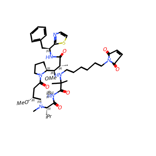 CC[C@H](C)[C@@H]([C@@H](CC(=O)N1CCC[C@H]1[C@H](OC)[C@@H](C)C(=O)N[C@@H](Cc1ccccc1)c1nccs1)OC)N(C)[C@H](C(=O)NC(=O)C(C)(C)NCCCCCCN1C(=O)C=CC1=O)C(C)C